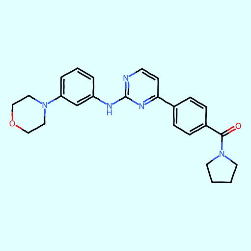 O=C(c1ccc(-c2ccnc(Nc3cccc(N4CCOCC4)c3)n2)cc1)N1CCCC1